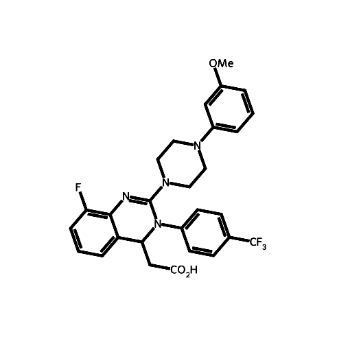 COc1cccc(N2CCN(C3=Nc4c(F)cccc4C(CC(=O)O)N3c3ccc(C(F)(F)F)cc3)CC2)c1